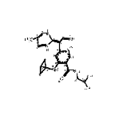 CC1=CN/C(=C(\C=N)c2cc(NC34CC3C4)c(C(=O)NCC(F)C(C)C)cn2)N=C1